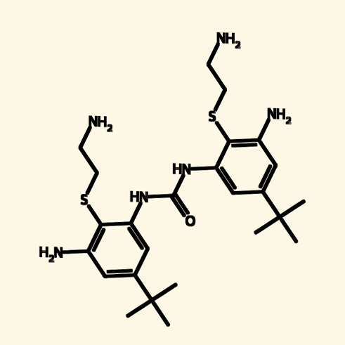 CC(C)(C)c1cc(N)c(SCCN)c(NC(=O)Nc2cc(C(C)(C)C)cc(N)c2SCCN)c1